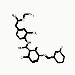 CCOC(O)CC1=CC(C)C(NC(O)C2C(Cl)C=CC(OCC3CCCC(Cl)C3)C2F)CC1